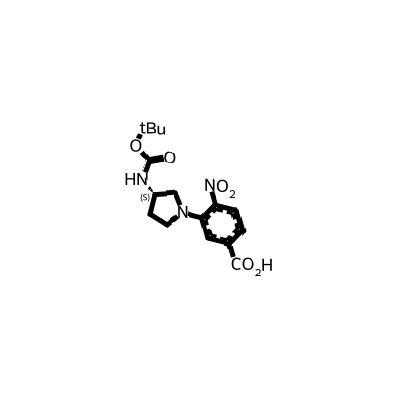 CC(C)(C)OC(=O)N[C@H]1CCN(c2cc(C(=O)O)ccc2[N+](=O)[O-])C1